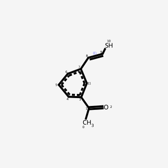 CC(=O)c1cccc(/C=C/S)c1